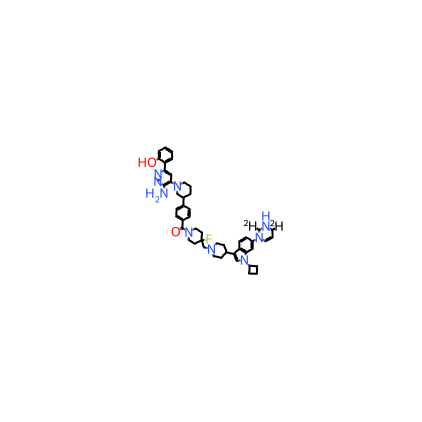 [2H]C1C=CN(c2ccc3c(C4CCN(CC5(F)CCN(C(=O)c6ccc(C7CCCN(c8cc(-c9ccccc9O)nnc8N)C7)cc6)CC5)CC4)cn(C4CCC4)c3c2)C([2H])N1